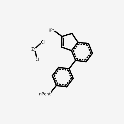 CCCCCc1ccc(-c2cccc3c2C=C(C(C)C)[CH]3)cc1.[Cl][Zr][Cl]